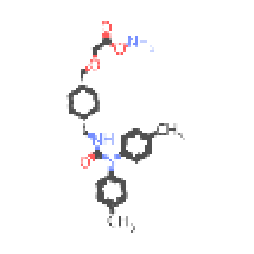 Cc1ccc(N(C(=O)NC[C@H]2CC[C@H](COCC(=O)ON)CC2)c2ccc(C)cc2)cc1